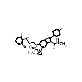 CNC(=O)c1c(-c2ccc(F)cc2)oc2cc(N(CCC(O)c3c(F)cccc3Br)S(C)(=O)=O)c(C3CC3)cc12